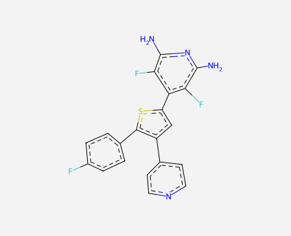 Nc1nc(N)c(F)c(-c2cc(-c3ccncc3)c(-c3ccc(F)cc3)s2)c1F